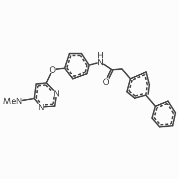 CNc1cc(Oc2ccc(NC(=O)Cc3ccc(-c4ccccc4)cc3)cc2)ncn1